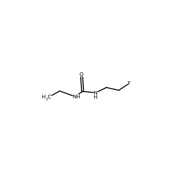 CCNC(=O)NCCF